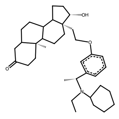 CCN(C1CCCCC1)[C@H](C)c1cccc(OCC[C@]23CCC4C(CCC5CC(=O)CC[C@@]54C)C2CC[C@@H]3O)c1